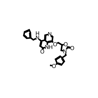 COc1ccc(CN2CC(COc3cncc4c(NCc5ccccc5)cc(=O)[nH]c34)OC2=O)cc1